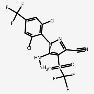 N#Cc1nn(-c2c(Cl)cc(C(F)(F)F)cc2Cl)c(NN)c1S(=O)(=O)C(F)(F)F